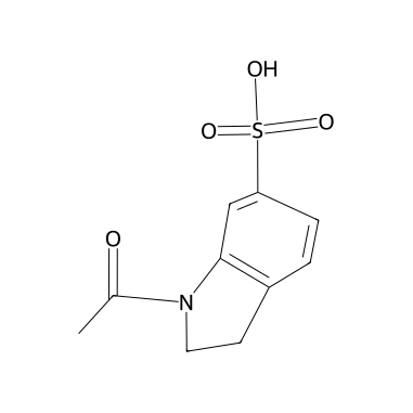 CC(=O)N1CCc2ccc(S(=O)(=O)O)cc21